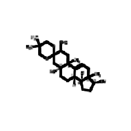 CC1(C)COC2(C[C@]3(O)CC[C@@H]4C(=CC[C@]5(C)[C@@H](O)CC[C@@H]45)[C@@]3(C)CC2C=O)OC1